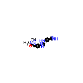 CN(CC#N)C(=O)c1cc2ccc(-c3nccc(Nc4ccc(-c5cn[nH]c5)cc4)n3)cc2[nH]1